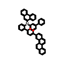 c1ccc(-c2cccc(N(c3ccccc3-c3ccc(-c4ccc5ccc6c7ccccc7ccc6c5c4)cc3)c3cc4ccccc4c4ccccc34)c2)cc1